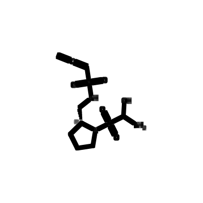 C=C=CS(=O)(=O)NC[C@H]1CCCN1S(=O)(=O)C(N)O